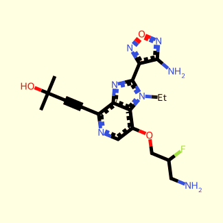 CCn1c(-c2nonc2N)nc2c(C#CC(C)(C)O)ncc(OCC(F)CN)c21